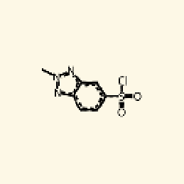 Cn1nc2ccc(S(=O)(=O)Cl)cc2n1